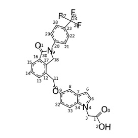 O=C(O)Cn1ccc2cc(OCc3cccc4c3CN(c3ccc(C(F)(F)F)cc3)C4=O)ccc21